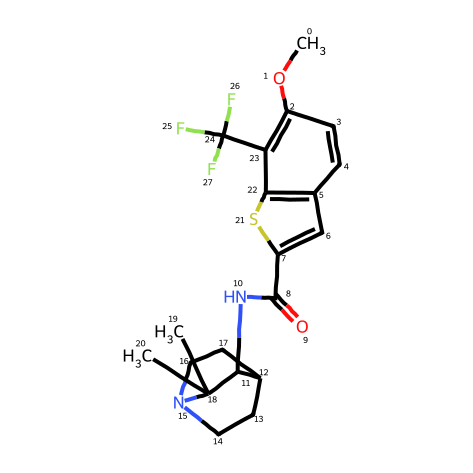 COc1ccc2cc(C(=O)NC3C4CCN(CC4)C3(C)C)sc2c1C(F)(F)F